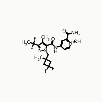 Cc1c(C(C)(F)F)nn(CC2(C)CC(F)(F)C2)c1C(=O)Nc1cc[n+](O)c(C(N)=O)c1